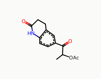 CC(=O)OC(C)C(=O)c1ccc2c(c1)CCC(=O)N2